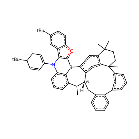 CC1c2cccc3c2B(c2cc4c5cc2[C@@H]1Cc1ccccc1-c1cccc(c1)C5(C)CCC4(C)C)c1oc2ccc(C(C)(C)C)cc2c1N3C1=CCC(C(C)(C)C)C=C1